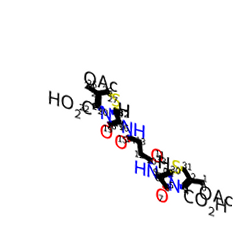 CC(=O)OCC1=C(C(=O)O)N2C(=O)[C@@H](NC(=O)CCC(=O)N[C@@H]3C(=O)N4C(C(=O)O)=C(COC(C)=O)CS[C@H]34)[C@H]2SC1